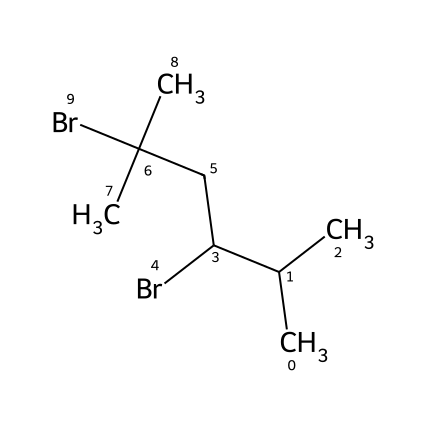 CC(C)C(Br)CC(C)(C)Br